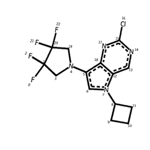 FC1(F)CN(c2cn(C3CCC3)c3cnc(Cl)nc23)CC1(F)F